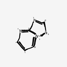 C1=Nc2nccc[n+]2[N]1